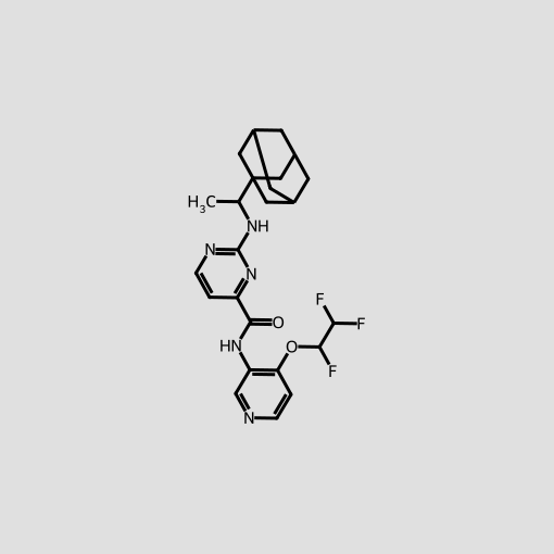 CC(Nc1nccc(C(=O)Nc2cnccc2OC(F)C(F)F)n1)C12CC3CC(CC(C3)C1)C2